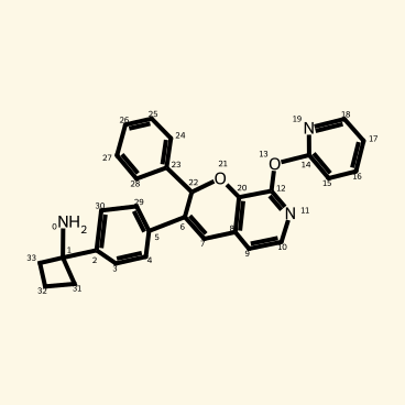 NC1(c2ccc(C3=Cc4ccnc(Oc5ccccn5)c4OC3c3ccccc3)cc2)CCC1